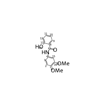 COc1ccc(NC(=O)c2c[c]ccc2O)cc1OC